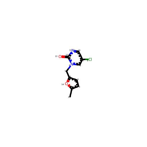 Cc1ccc(Cn2cc(Cl)cnc2=O)o1